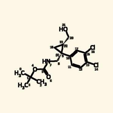 CC(C)(C)OC(=O)NC[C@]1(c2ccc(Cl)c(Cl)c2)C[C@@H]1CO